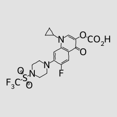 O=C(O)Oc1cn(C2CC2)c2cc(N3CCN(S(=O)(=O)C(F)(F)F)CC3)c(F)cc2c1=O